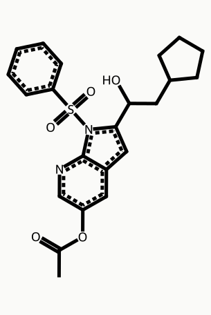 CC(=O)Oc1cnc2c(c1)cc(C(O)CC1CCCC1)n2S(=O)(=O)c1ccccc1